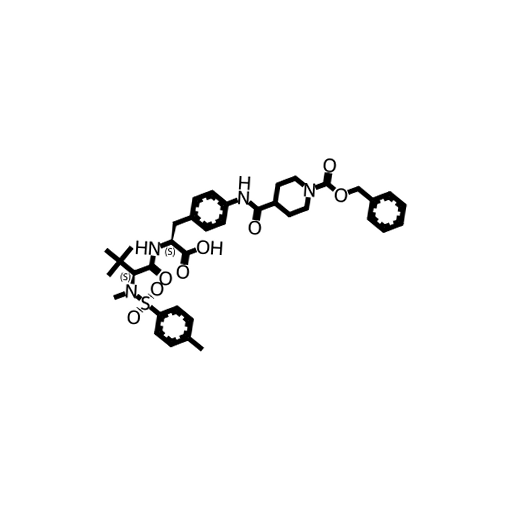 Cc1ccc(S(=O)(=O)N(C)[C@H](C(=O)N[C@@H](Cc2ccc(NC(=O)C3CCN(C(=O)OCc4ccccc4)CC3)cc2)C(=O)O)C(C)(C)C)cc1